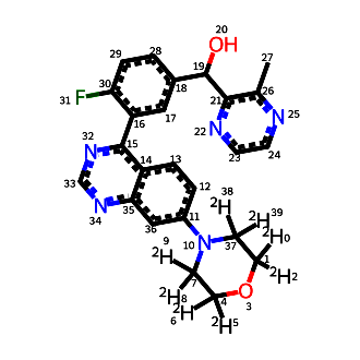 [2H]C1([2H])OC([2H])([2H])C([2H])([2H])N(c2ccc3c(-c4cc(C(O)c5nccnc5C)ccc4F)ncnc3c2)C1([2H])[2H]